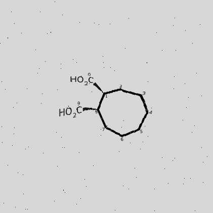 O=C(O)[C@H]1CCCCCC[C@H]1C(=O)O